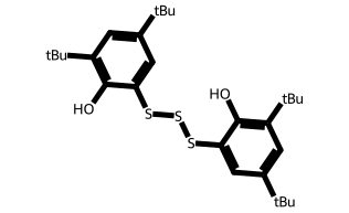 CC(C)(C)c1cc(SSSc2cc(C(C)(C)C)cc(C(C)(C)C)c2O)c(O)c(C(C)(C)C)c1